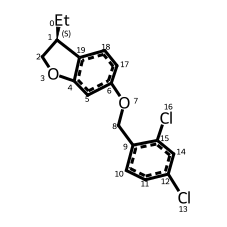 [CH2]C[C@@H]1COc2cc(OCc3ccc(Cl)cc3Cl)ccc21